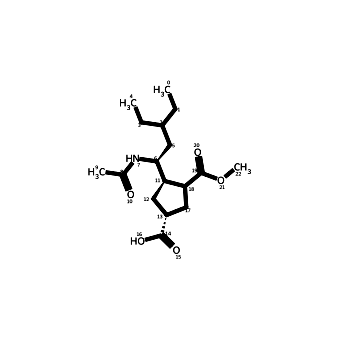 CCC(CC)C[C@H](NC(C)=O)[C@@H]1C[C@@H](C(=O)O)CC1C(=O)OC